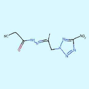 C/C(Cn1nnc([N+](=O)[O-])n1)=N\NC(=O)CC#N